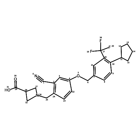 N#Cc1cc(OCc2ccc(C3CCCC3)c(C(F)(F)F)c2)ccc1CN1CC(C(=O)O)C1